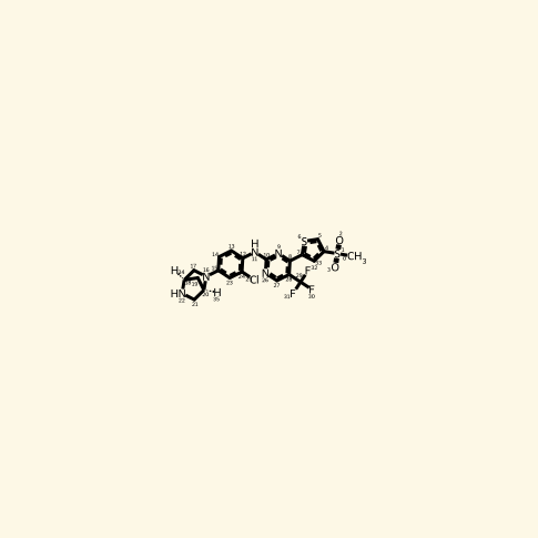 CS(=O)(=O)c1csc(-c2nc(Nc3ccc(N4C[C@H]5C[C@@H]4CN5)cc3Cl)ncc2C(F)(F)F)c1